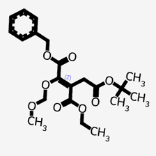 CCOC(=O)/C(CC(=O)OC(C)(C)C)=C(\OCOC)C(=O)OCc1ccccc1